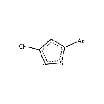 CC(=O)c1cc(Cl)[c]s1